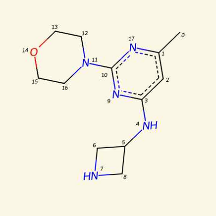 Cc1cc(NC2CNC2)nc(N2CCOCC2)n1